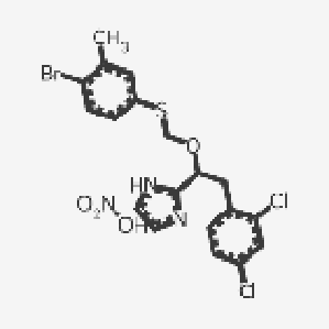 Cc1cc(SCOC(Cc2ccc(Cl)cc2Cl)c2ncc[nH]2)ccc1Br.O=[N+]([O-])O